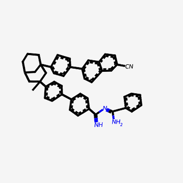 CC1(c2ccc(-c3ccc(C(=N)/N=C(\N)c4ccccc4)cc3)cc2)CC2CCCC(c3ccc(-c4ccc5cc(C#N)ccc5c4)cc3)(C2)C1